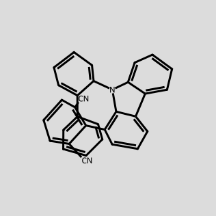 N#Cc1cccc(C#N)c1-c1cccc2c3ccccc3n(-c3ccccc3-c3ccccc3)c12